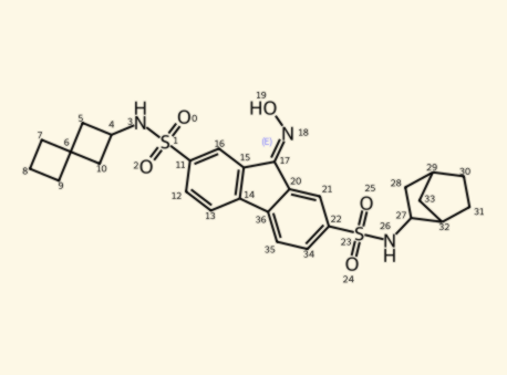 O=S(=O)(NC1CC2(CCC2)C1)c1ccc2c(c1)/C(=N\O)c1cc(S(=O)(=O)NC3CC4CCC3C4)ccc1-2